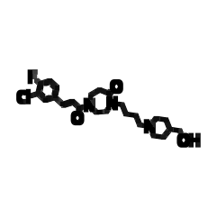 O=C(C=Cc1ccc(F)c(Cl)c1)N1CCC(=O)N(CCCCN2CCC(CO)CC2)CC1